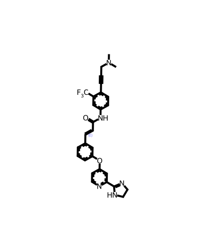 CN(C)CC#Cc1ccc(NC(=O)/C=C/c2cccc(Oc3ccnc(C4=NCCN4)c3)c2)cc1C(F)(F)F